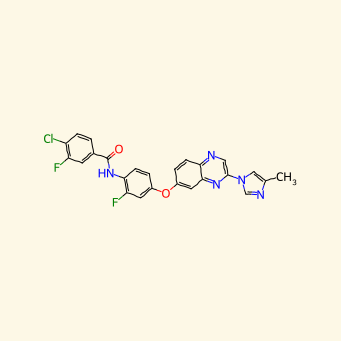 Cc1cn(-c2cnc3ccc(Oc4ccc(NC(=O)c5ccc(Cl)c(F)c5)c(F)c4)cc3n2)cn1